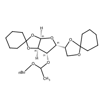 CCCCOC(C)O[C@@H]1[C@H]2OC3(CCCCC3)O[C@H]2O[C@@H]1C1COC2(CCCCC2)O1